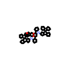 c1ccc(C2(c3ccccc3)c3ccccc3-c3ccc(N(c4ccccc4-c4ccc5c6ccccc6n(-c6ccc7c(c6)C(c6ccccc6)(c6ccccc6)c6ccccc6-7)c5c4)c4cccc5ccccc45)cc32)cc1